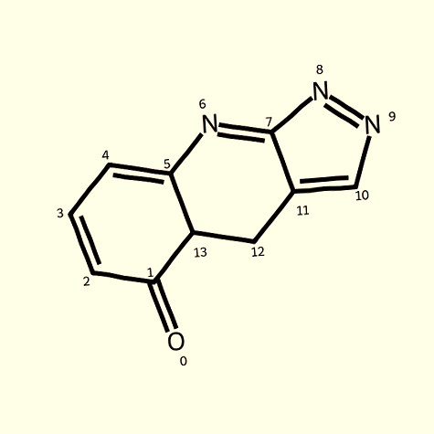 O=C1C=CC=C2N=C3N=NC=C3CC12